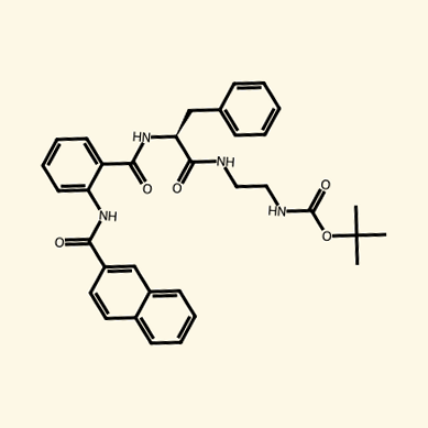 CC(C)(C)OC(=O)NCCNC(=O)[C@H](Cc1ccccc1)NC(=O)c1ccccc1NC(=O)c1ccc2ccccc2c1